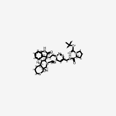 CC(C)(C)OC(=O)N1CCC[C@H]1C(=O)NCC1=CCN(CC[C@]2(C3C[C@@H]4CCCSC[C@H]4CN3C#N)C(=O)Nc3ccccc32)N=N1